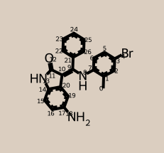 Cc1cc(Br)ccc1NC(=C1C(=O)Nc2ccc(N)cc21)c1ccccc1